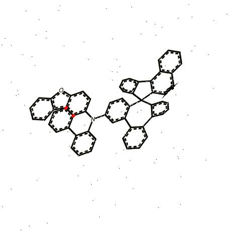 c1ccc(-c2ccccc2N(c2ccc3c(c2)-c2ccccc2-c2ccccc2C32c3ccccc3-c3c2c2ccccc2c2ccccc32)c2ccc3oc4ccccc4c3c2)cc1